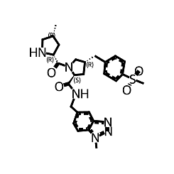 C[C@H]1CN[C@@H](C(=O)N2C[C@H](Cc3ccc(S(C)(=O)=O)cc3)C[C@H]2C(=O)NCc2ccc3c(c2)nnn3C)C1